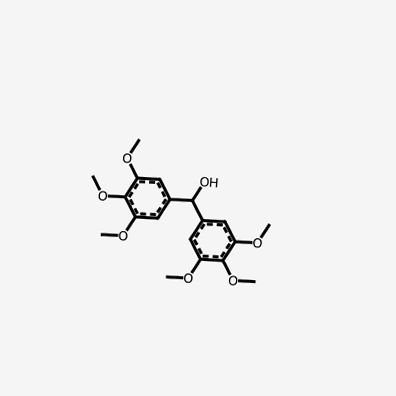 COc1cc(C(O)c2cc(OC)c(OC)c(OC)c2)cc(OC)c1OC